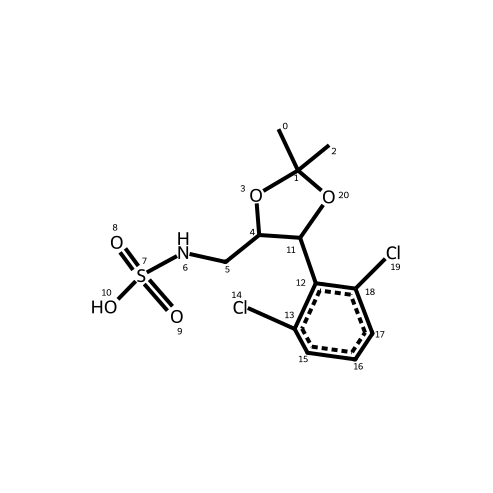 CC1(C)OC(CNS(=O)(=O)O)C(c2c(Cl)cccc2Cl)O1